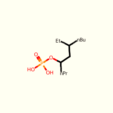 CCCCC(CC)CC(CCC)OP(=O)(O)O